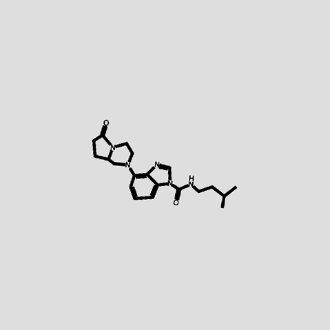 CC(C)CCNC(=O)n1cnc2c(N3CCN4C(=O)CCC4C3)cccc21